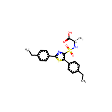 CCc1ccc(-c2nc(S(=O)(=O)N[C@@H](C)C(=O)O)c(-c3ccc(CC)cc3)s2)cc1